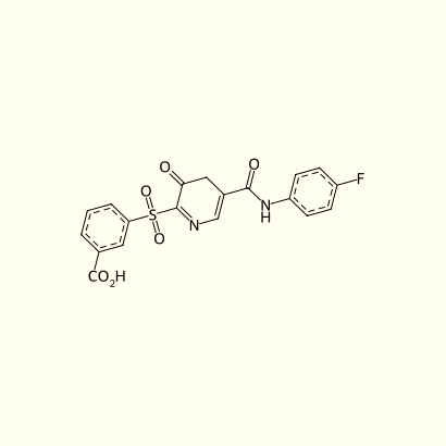 O=C1CC(C(=O)Nc2ccc(F)cc2)=CN=C1S(=O)(=O)c1cccc(C(=O)O)c1